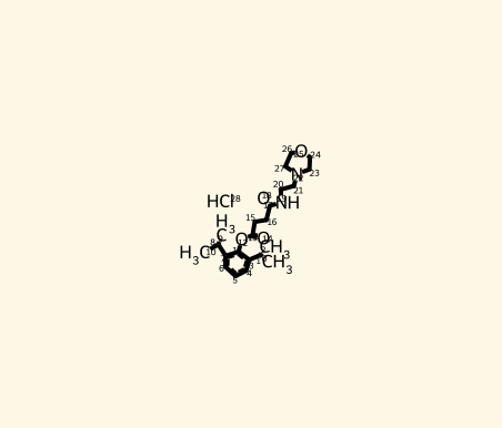 CC(C)c1cccc(C(C)C)c1OC(=O)CCC(=O)NCCN1CCOCC1.Cl